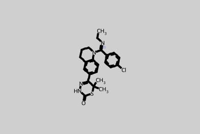 CC/N=C(/c1ccc(Cl)cc1)N1CCCc2cc(C3=NNC(=O)SC3(C)C)ccc21